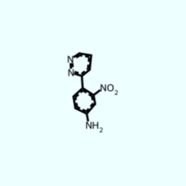 Nc1ccc(-c2cccnn2)c([N+](=O)[O-])c1